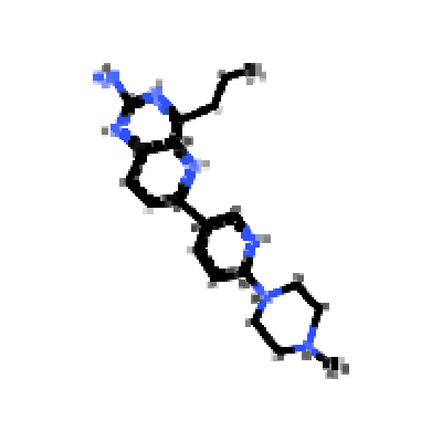 CCCc1nc(N)nc2ccc(-c3ccc(N4CCN(C)CC4)nc3)nc12